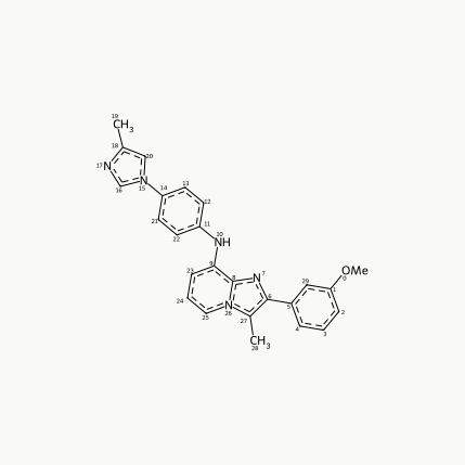 COc1cccc(-c2nc3c(Nc4ccc(-n5cnc(C)c5)cc4)cccn3c2C)c1